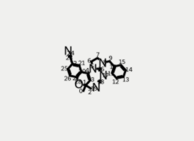 CC1(C)C=C(N2CCN(Cc3ccccc3)C2=NC#N)c2cc(C#N)ccc2O1